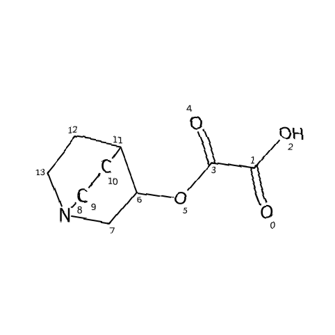 O=C(O)C(=O)OC1CN2CCC1CC2